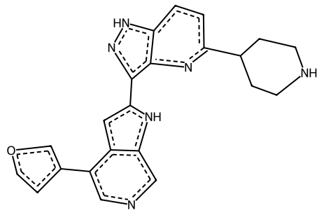 c1cc(-c2cncc3[nH]c(-c4n[nH]c5ccc(C6CCNCC6)nc45)cc23)co1